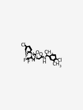 Cc1cc([C@H](C)NC(=O)Cn2nc(C(F)(F)F)n(-c3ccc(Cl)cn3)c2=O)ccc1Cl